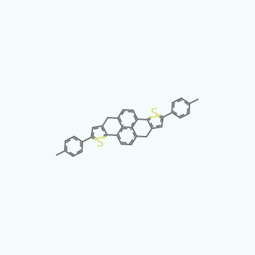 Cc1ccc(-c2cc3c(s2)-c2ccc4c5c(ccc(c25)C3)-c2sc(-c3ccc(C)cc3)cc2C4)cc1